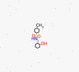 Cc1ccc(S(=O)(=O)NCc2ccccc2O)cc1